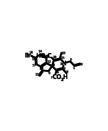 C=CCN1C(C)=C(C(=O)O)C(CC=C)(c2ccc(Br)cc2)C(C(=O)O)=C1C